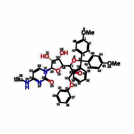 COc1ccc(C(OC(C(=O)COc2ccccc2)[C@H]2O[C@@H](n3ccc(NC(C)(C)C)nc3=O)[C@H](O)[C@@H]2O)(c2ccccc2)c2ccc(OC)cc2)cc1